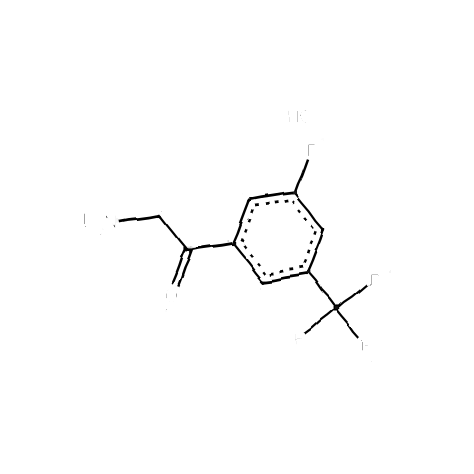 Cl.NCC(=O)c1cc(F)cc(C(F)(F)F)c1